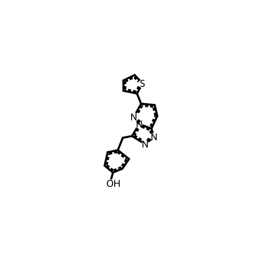 Oc1ccc(Cc2nnc3ccc(-c4cccs4)nn23)cc1